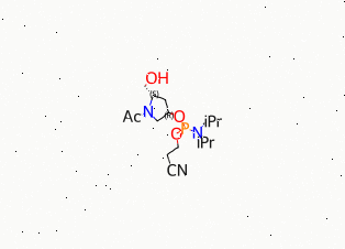 CC(=O)N1C[C@H](OP(OCCC#N)N(C(C)C)C(C)C)C[C@H]1CO